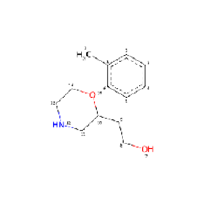 Cc1ccccc1.OCCC1CNCCO1